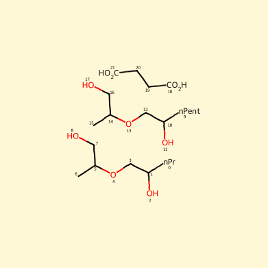 CCCC(O)COC(C)CO.CCCCCC(O)COC(C)CO.O=C(O)CCC(=O)O